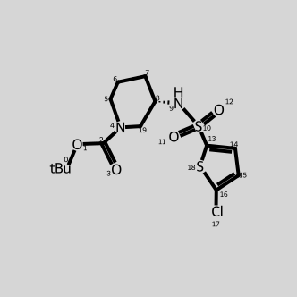 CC(C)(C)OC(=O)N1CCC[C@H](NS(=O)(=O)c2ccc(Cl)s2)C1